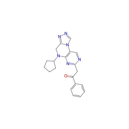 O=C(Cc1ncc2c(n1)N(C1CCCC1)Cc1nncn1-2)c1ccccc1